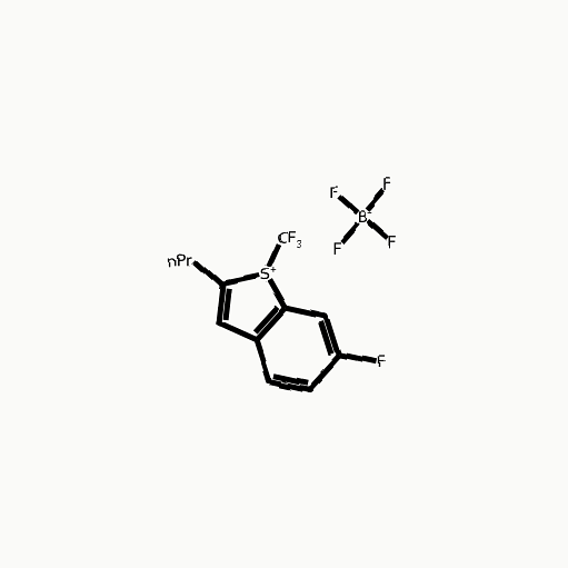 CCCc1cc2ccc(F)cc2[s+]1C(F)(F)F.F[B-](F)(F)F